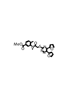 COC(=O)c1ccc(C)c(N(C)C(=O)CSc2nnc(-c3ccco3)c(-c3ccco3)n2)c1